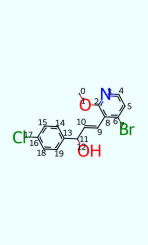 COc1nccc(Br)c1C=CC(O)c1ccc(Cl)cc1